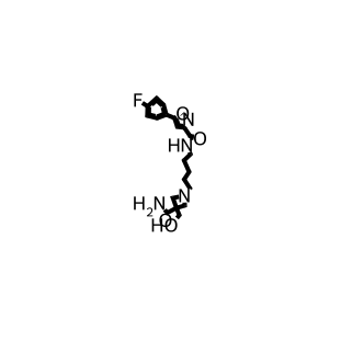 NC(=O)C1(CO)CN(CCCCCNC(=O)c2cc(-c3ccc(F)cc3)on2)C1